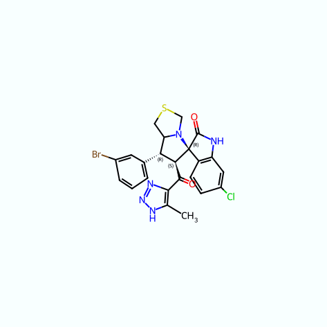 Cc1[nH]nnc1C(=O)[C@H]1[C@H](c2cccc(Br)c2)C2CSCN2[C@]12C(=O)Nc1cc(Cl)ccc12